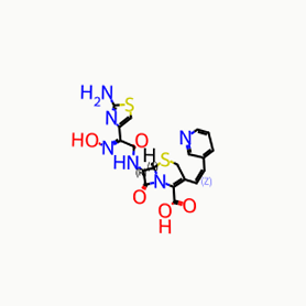 Nc1nc(C(=NO)C(=O)N[C@@H]2C(=O)N3C(C(=O)O)=C(/C=C\c4cccnc4)CS[C@@H]23)cs1